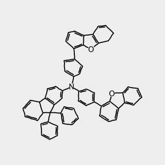 C1=CC2c3ccc(N(c4ccc(-c5cccc6c7c(oc56)CCC=C7)cc4)c4ccc(-c5cccc6c5oc5ccccc56)cc4)cc3C(c3ccccc3)(c3ccccc3)C2C=C1